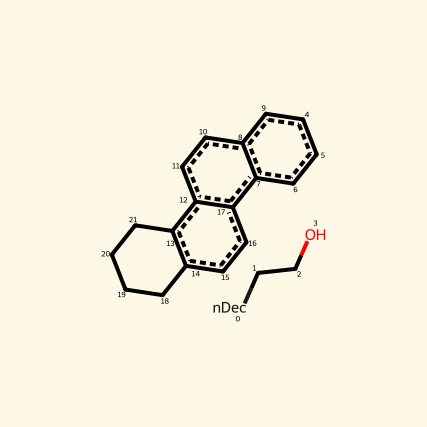 CCCCCCCCCCCCO.c1ccc2c(c1)ccc1c3c(ccc12)CCCC3